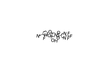 N#Cc1ccc(O[C@H]2CN(S(=O)(=O)c3cnc(C(F)(F)F)nc3)C[C@@]2(O)CO)cc1F